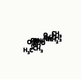 CC(C)C[C@H](NC(=O)CNC(=O)CNC(=O)[C@@H](N)CC(C)C)C(=O)O